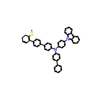 CSC1=C(c2ccc(-c3ccc(N(c4ccc(-c5ccccc5)cc4)c4ccc(-n5c6ccccc6c6ccccc65)cc4)cc3)cc2)C=CCC1